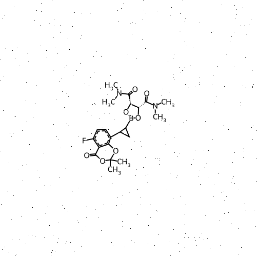 CN(C)C(=O)[C@@H]1OB(C2CC2c2ccc(F)c3c2OC(C)(C)OC3=O)O[C@H]1C(=O)N(C)C